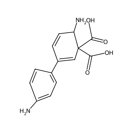 Nc1ccc(C2=CC(C(=O)O)(C(=O)O)C(N)C=C2)cc1